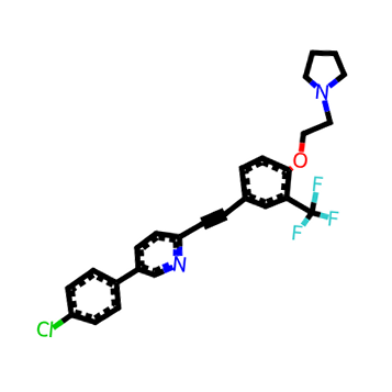 FC(F)(F)c1cc(C#Cc2ccc(-c3ccc(Cl)cc3)cn2)ccc1OCCN1CCCC1